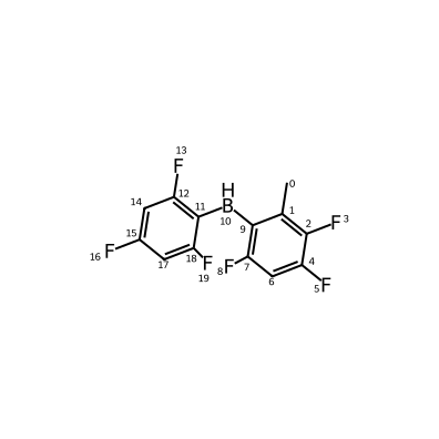 Cc1c(F)c(F)cc(F)c1Bc1c(F)cc(F)cc1F